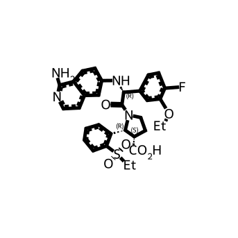 CCOc1cc([C@@H](Nc2ccc3c(N)nccc3c2)C(=O)N2CC[C@H](C(=O)O)[C@@H]2c2ccccc2S(=O)(=O)CC)ccc1F